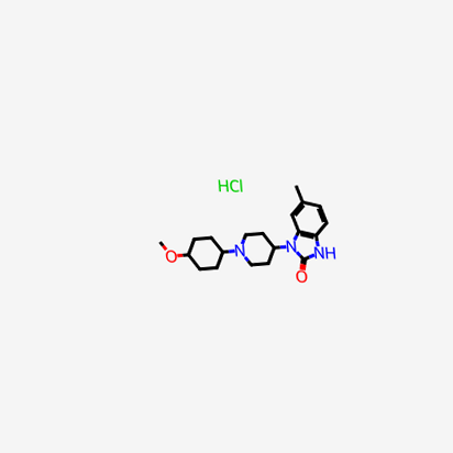 COC1CCC(N2CCC(n3c(=O)[nH]c4ccc(C)cc43)CC2)CC1.Cl